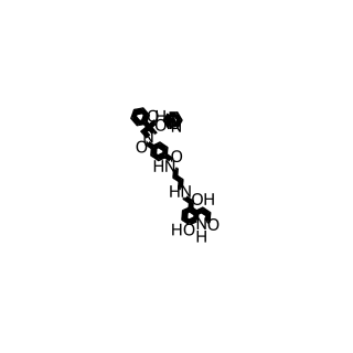 O=C(NCCCCNC[C@H](O)c1ccc(O)c2[nH]c(=O)ccc12)c1ccc(C(=O)N2CC(C(=O)O[C@H]3CN4CCC3CC4)(c3ccccc3)C2)cc1